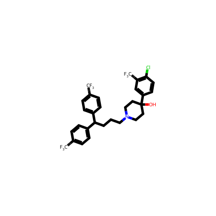 OC1(c2ccc(Cl)c(C(F)(F)F)c2)CCN(CCCC(c2ccc(C(F)(F)F)cc2)c2ccc(C(F)(F)F)cc2)CC1